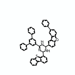 c1ccc(-c2cc(C3=NC(c4cccc5c4sc4ccccc45)NC(c4ccc5oc6ccc(-c7ccccc7)cc6c5c4)N3)cc(-c3ccccc3)c2)cc1